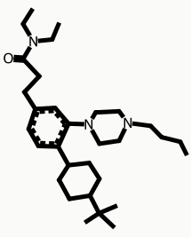 CCCCN1CCN(c2cc(CCC(=O)N(CC)CC)ccc2C2CCC(C(C)(C)C)CC2)CC1